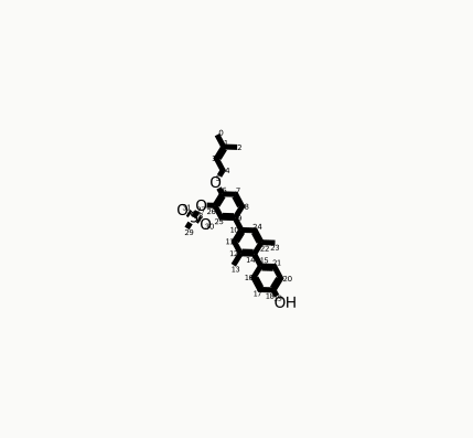 CC(C)=CCOc1ccc(-c2cc(C)c(-c3ccc(O)cc3)c(C)c2)cc1OS(C)(=O)=O